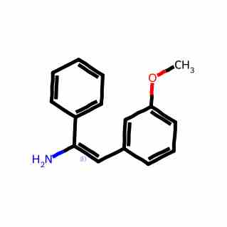 COc1cccc(/C=C(/N)c2ccccc2)c1